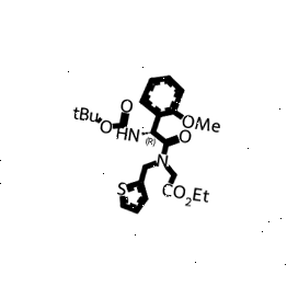 CCOC(=O)CN(Cc1cccs1)C(=O)[C@H](NC(=O)OC(C)(C)C)c1ccccc1OC